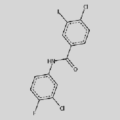 O=C(Nc1ccc(F)c(Cl)c1)c1ccc(Cl)c(I)c1